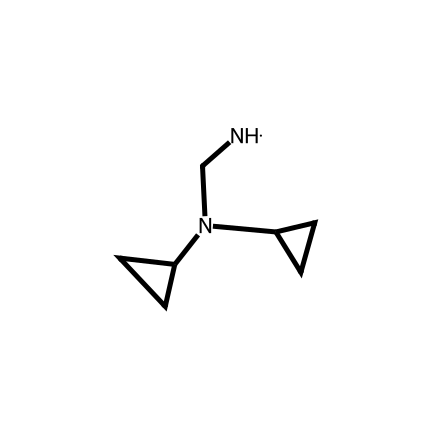 [NH]CN(C1CC1)C1CC1